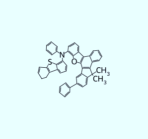 CC1(C)c2ccc(-c3ccccc3)cc2-c2c1c1ccccc1c1c2oc2c(N(c3ccccc3)c3cccc4c5c(sc34)C=CCC5)cccc21